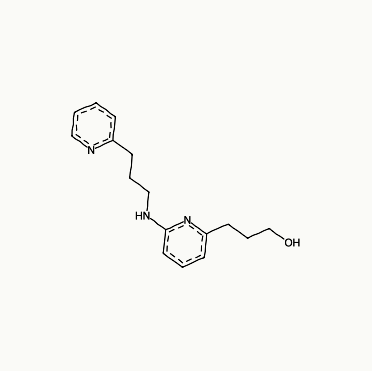 OCCCc1cccc(NCCCc2ccccn2)n1